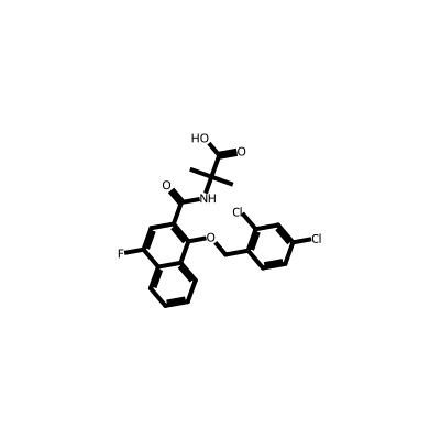 CC(C)(NC(=O)c1cc(F)c2ccccc2c1OCc1ccc(Cl)cc1Cl)C(=O)O